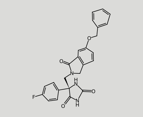 O=C1NC(=O)[C@](CN2Cc3ccc(OCc4ccccc4)cc3C2=O)(c2ccc(F)cc2)N1